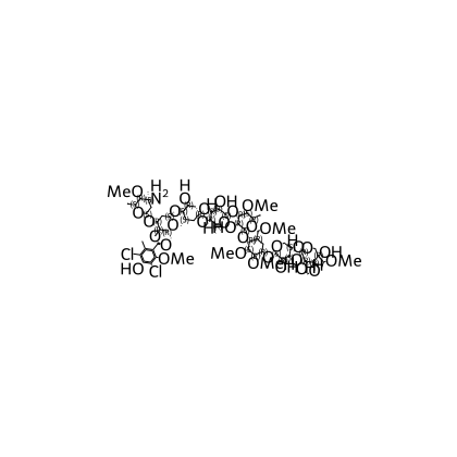 COC[C@H]1C[C@@H](O[C@@H]2OC[C@@H]3O[C@@]4(OC[C@@](O)(C(C)OC)[C@@H]5OCO[C@H]54)O[C@H]3[C@H]2O)[C@@H](OC)[C@@H](OC)[C@@H]1O[C@@H]1O[C@H](C)[C@H](OC)[C@H](O[C@@H]2O[C@H](C)[C@H]3O[C@]4(C[C@@H](O)[C@H](O[C@H]5C[C@@H](O[C@H]6C[C@](C)(N)[C@@H](OC)[C@H](C)O6)[C@H](OC(=O)c6c(C)c(Cl)c(O)c(Cl)c6OC)[C@@H](C)O5)[C@@H](C)C4)O[C@@H]3[C@@H]2O)[C@H]1O